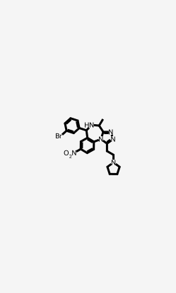 CC1NC(c2cccc(Br)c2)c2cc([N+](=O)[O-])ccc2-n2c(CCN3CCCC3)nnc21